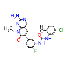 CCn1c(=O)c(-c2ccc(F)c(NC(=O)Nc3cc(Cl)ccc3C)c2)cc2cnc(N)nc21